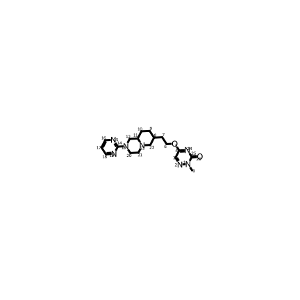 Cn1ncc(OCCC2CCC3CN(c4ncccn4)CCN3C2)nc1=O